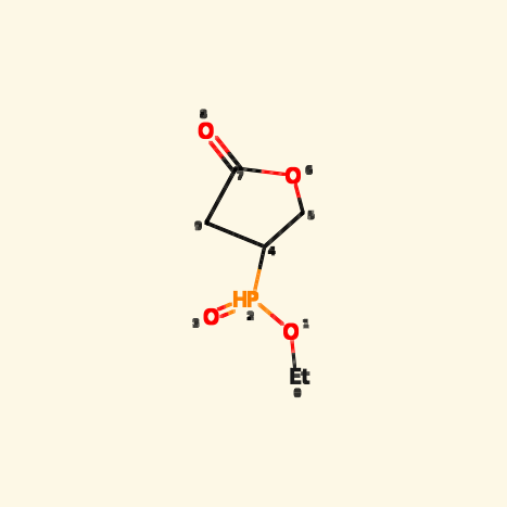 CCO[PH](=O)C1COC(=O)C1